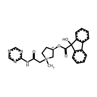 C[N+]1(CC(=O)Nc2ncncn2)CC[C@@H](OC(=O)C2(O)c3ccccc3-c3ccccc32)C1